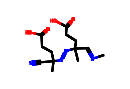 C/N=C/C(C)(CCC(=O)O)/N=N/C(C)(C#N)CCC(=O)O